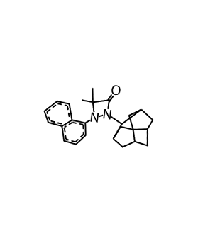 CC1(C)C(=O)N(C2C3CC4CC5CC2CC45C3)N1c1cccc2ccccc12